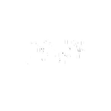 C=Cc1cc(OCc2ccccc2)c(NC(=O)C(F)(F)F)c(F)c1CC(CO[Si](C)(C)C(C)(C)C)NC(=O)O